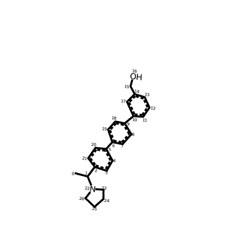 CC(c1ccc(-c2ccc(-c3cccc(CO)c3)cc2)cc1)N1CCCC1